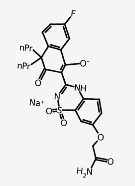 CCCC1(CCC)C(=O)C(C2=NS(=O)(=O)c3cc(OCC(N)=O)ccc3N2)=C([O-])c2cc(F)ccc21.[Na+]